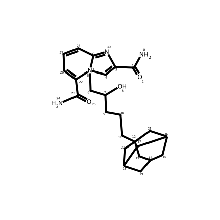 NC(=O)C1=C[N+]2(CC(O)CCCC34CC5CC(CC(C5)C3)C4)C(C(N)=O)=CC=CC2=N1